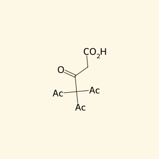 CC(=O)C(C(C)=O)(C(C)=O)C(=O)CC(=O)O